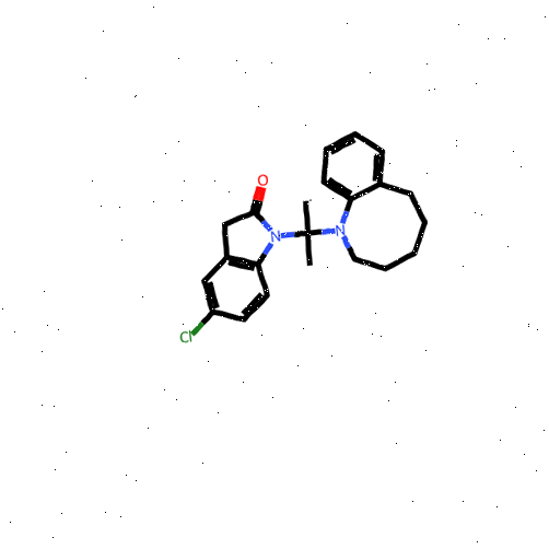 [CH2]C(C)(N1CCCCCc2ccccc21)N1C(=O)Cc2cc(Cl)ccc21